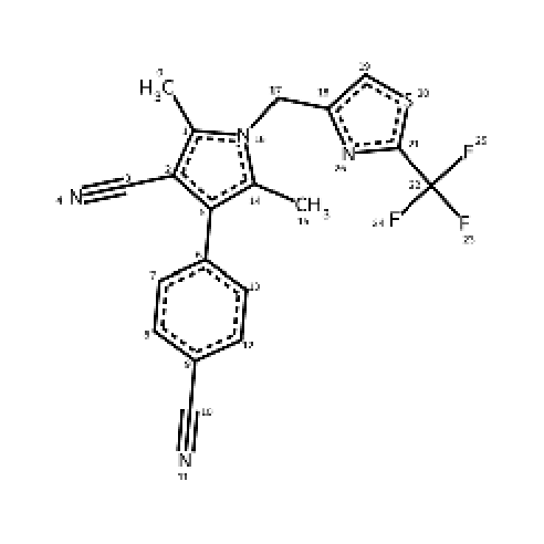 Cc1c(C#N)c(-c2ccc(C#N)cc2)c(C)n1Cc1csc(C(F)(F)F)n1